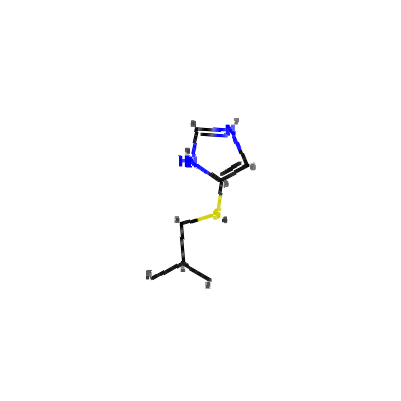 [CH2]C(C)CSc1cnc[nH]1